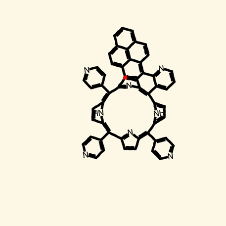 C1=Cc2nc1c(-c1ccncc1)c1ccc([nH]1)c(-c1ccncc1)c1nc(c(-c3cccnc3-c3ccc4ccc5cccc6ccc3c4c56)c3ccc([nH]3)c2-c2ccncc2)C=C1